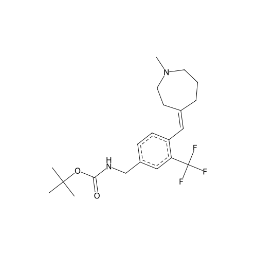 CN1CCC/C(=C/c2ccc(CNC(=O)OC(C)(C)C)cc2C(F)(F)F)CC1